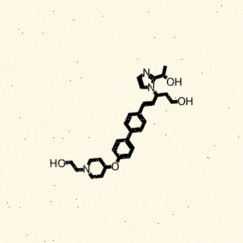 CC(O)c1nccn1C(/C=C/c1ccc(-c2ccc(OC3CCN(CCO)CC3)cc2)cc1)CCO